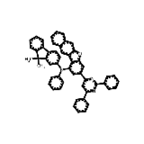 CC1(C)c2ccccc2-c2ccc(N(c3ccccc3)c3cc(-c4cc(-c5ccccc5)nc(-c5ccccc5)n4)cc4oc5cc6ccccc6cc5c34)cc21